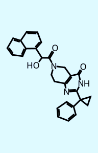 O=C(C(O)c1cccc2ccccc12)N1CCc2nc(C3(c4ccccc4)CC3)[nH]c(=O)c2C1